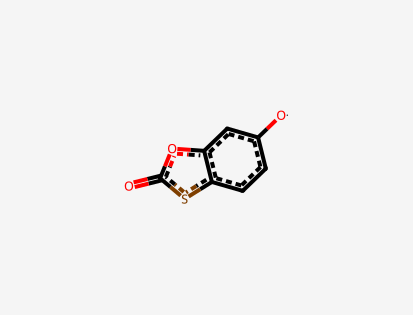 [O]c1ccc2sc(=O)oc2c1